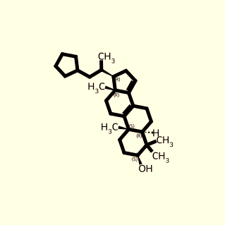 CC(CC1CCCC1)[C@H]1CC=C2C3=C(CC[C@@]21C)[C@@]1(C)CC[C@H](O)C(C)(C)[C@@H]1CC3